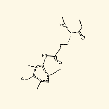 CN[C@@H](CCC(=O)Nc1c(C)cc(C)c(Br)c1C)C(C)=O